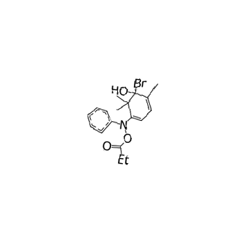 CCC(=O)ON(C1=CC=C(C)C(O)(Br)C1(C)C)c1ccccc1